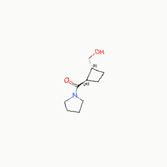 O=C([C@@H]1CC[C@H]1CO)N1CCCC1